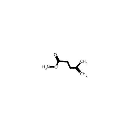 C=C(C)CCC(=O)ON